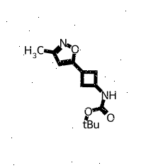 Cc1cc(C2CC(NC(=O)OC(C)(C)C)C2)on1